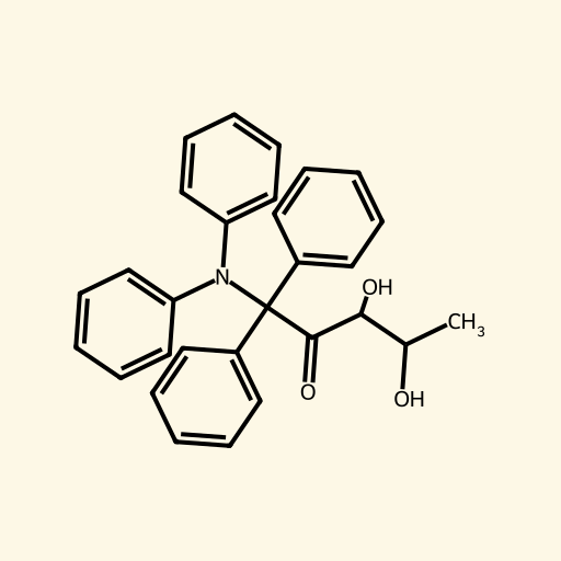 CC(O)C(O)C(=O)C(c1ccccc1)(c1ccccc1)N(c1ccccc1)c1ccccc1